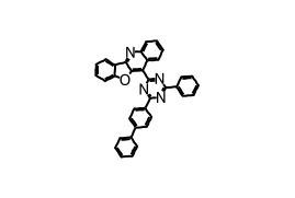 c1ccc(-c2ccc(-c3nc(-c4ccccc4)nc(-c4c5ccccc5nc5c4oc4ccccc45)n3)cc2)cc1